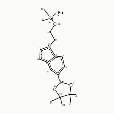 CC1(C)OB(c2ccc3c(ccn3CCO[Si](C)(C)C(C)(C)C)c2)OC1(C)C